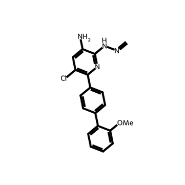 C=NNc1nc(-c2ccc(-c3ccccc3OC)cc2)c(Cl)cc1N